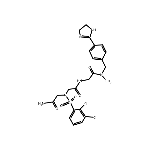 CN(Cc1ccc(C2=NCCN2)cc1)C(=O)CNC(=O)CN(CC(N)=O)S(=O)(=O)c1cccc(Cl)c1Cl